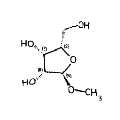 CO[C@@H]1O[C@@H](CO)[C@@H](O)[C@H]1O